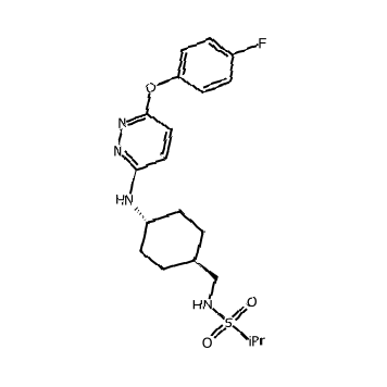 CC(C)S(=O)(=O)NC[C@H]1CC[C@H](Nc2ccc(Oc3ccc(F)cc3)nn2)CC1